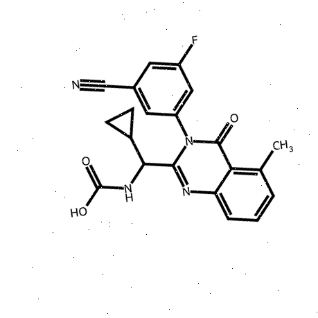 Cc1cccc2nc(C(NC(=O)O)C3CC3)n(-c3cc(F)cc(C#N)c3)c(=O)c12